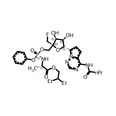 CCCC(=O)Nc1ncnn2c([C@@H]3O[C@](CF)(CO[P@@](=O)(N[C@@H](C)C(=O)OCC(CC)CC)Oc4ccccc4)[C@@H](O)[C@H]3O)ccc12